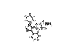 Br.Cc1nc(-[n+]2c(-c3ccccc3)nnn2-c2ccccc2)sc1C.N